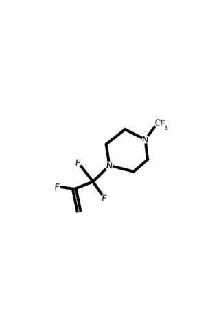 C=C(F)C(F)(F)N1CCN(C(F)(F)F)CC1